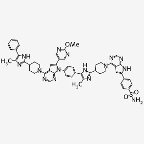 COc1ncc(-c2cc3c(N4CCC(c5nc(C)c(-c6ccccc6)[nH]5)CC4)ncnc3n2-c2ccc(-c3[nH]c(C4CCN(c5ncnc6[nH]c(-c7ccc(S(N)(=O)=O)cc7)cc56)CC4)nc3C)cc2)cn1